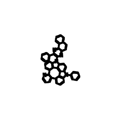 c1ccc(-c2nc3c(ccc4ccccc43)nc2-n2c3cccc4c5ncccc5c5cccc6c5c5c(c43)c2ccc5n6-c2ccccc2)cc1